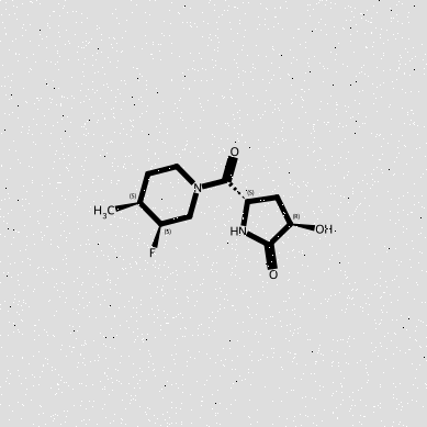 C[C@H]1CCN(C(=O)[C@@H]2C[C@@H](O)C(=O)N2)C[C@H]1F